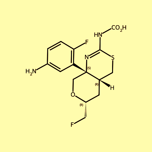 Nc1ccc(F)c([C@]23CO[C@@H](CF)C[C@H]2CSC(NC(=O)O)=N3)c1